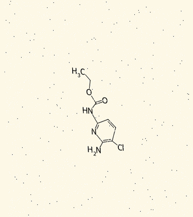 CCOC(=O)Nc1ccc(Cl)c(N)n1